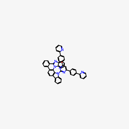 c1ccc(-c2ccc(-c3cc(-c4ccc(-c5ccccn5)cc4)nc(-n4c5ccccc5c5ccc6c7ccccc7c7nc8ccccc8n7c6c54)n3)cc2)nc1